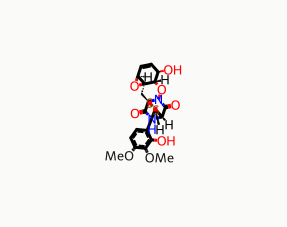 COc1ccc([C@@H]2SS[C@@]34C[C@]56O[C@H]5C=C[C@@H](O)[C@@H]6ON3C(=O)[C@@H]2NC4=O)c(O)c1OC